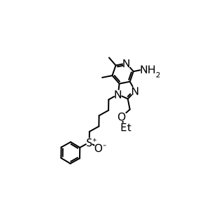 CCOCc1nc2c(N)nc(C)c(C)c2n1CCCCC[S+]([O-])c1ccccc1